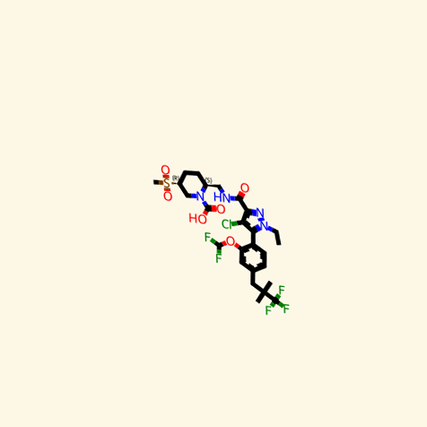 CCn1nc(C(=O)NC[C@@H]2CC[C@@H](S(C)(=O)=O)CN2C(=O)O)c(Cl)c1-c1ccc(CC(C)(C)C(F)(F)F)cc1OC(F)F